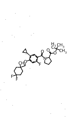 CC1(COc2cc(F)c(C(=O)N3CCCC3C(=O)OC(C)(C)C)cc2C2CC2)CCC(F)(F)CC1